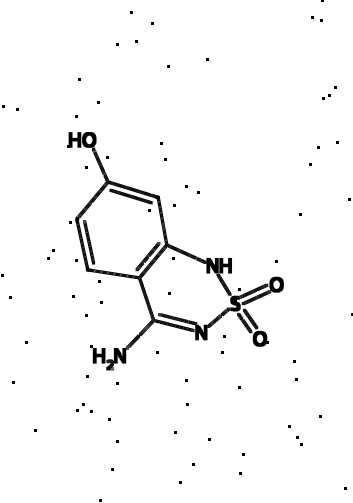 NC1=NS(=O)(=O)Nc2cc(O)ccc21